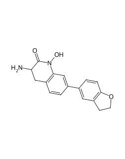 NC1Cc2ccc(-c3ccc4c(c3)CCO4)cc2N(O)C1=O